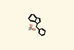 C1=Cc2ccccc2[C]1Cc1ccccc1.[Br][Zr][Br]